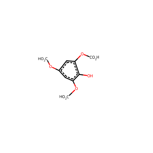 O=C(O)Oc1cc(OC(=O)O)c(O)c(OC(=O)O)c1